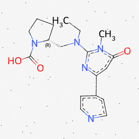 CCN(C[C@H]1CCCN1C(=O)O)c1nc(-c2ccncc2)cc(=O)n1C